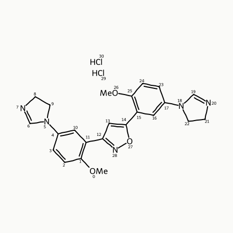 COc1ccc(N2C=NCC2)cc1-c1cc(-c2cc(N3C=NCC3)ccc2OC)on1.Cl.Cl